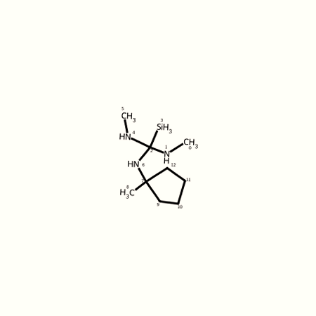 CNC([SiH3])(NC)NC1(C)CCCC1